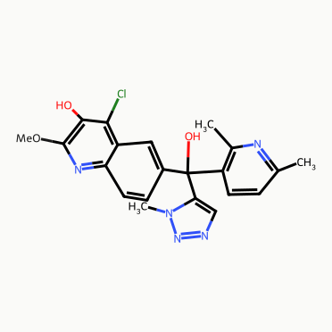 COc1nc2ccc(C(O)(c3ccc(C)nc3C)c3cnnn3C)cc2c(Cl)c1O